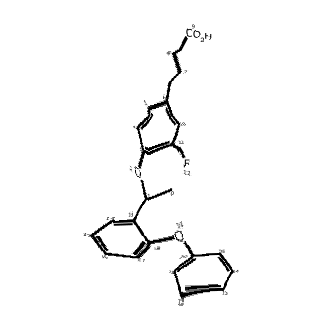 CC(Oc1ccc(CCC(=O)O)cc1F)c1ccccc1Oc1ccccc1